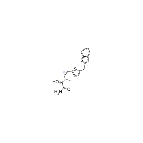 CC(/C=C\c1ccc(Cc2cc3ccccc3s2)s1)N(O)C(N)=O